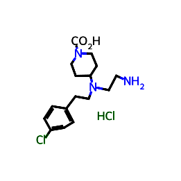 Cl.NCCN(CCc1ccc(Cl)cc1)C1CCN(C(=O)O)CC1